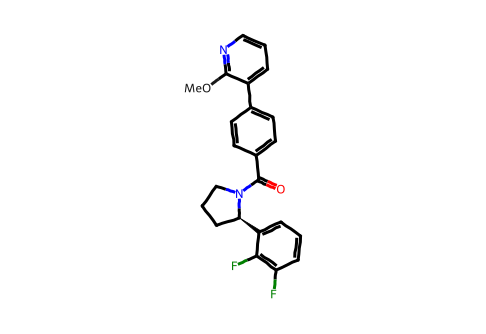 COc1ncccc1-c1ccc(C(=O)N2CCC[C@@H]2c2cccc(F)c2F)cc1